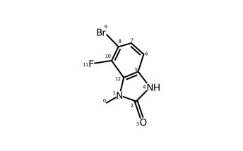 Cn1c(=O)[nH]c2ccc(Br)c(F)c21